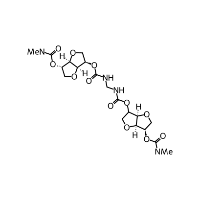 CNC(=O)O[C@H]1CO[C@H]2[C@@H]1OC[C@H]2OC(=O)NCNC(=O)OC1CO[C@H]2[C@@H]1OC[C@H]2OC(=O)NC